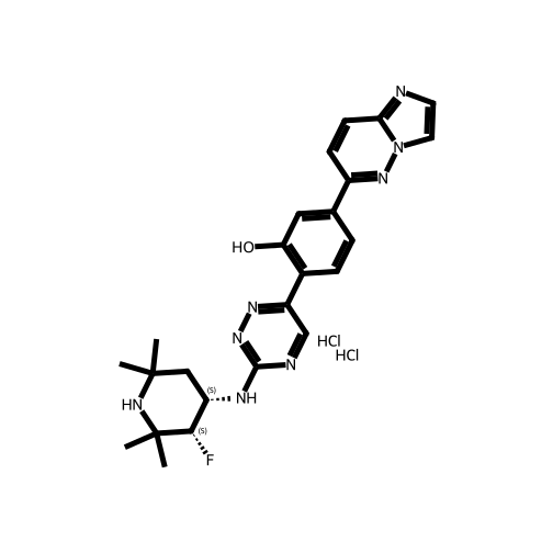 CC1(C)C[C@H](Nc2ncc(-c3ccc(-c4ccc5nccn5n4)cc3O)nn2)[C@H](F)C(C)(C)N1.Cl.Cl